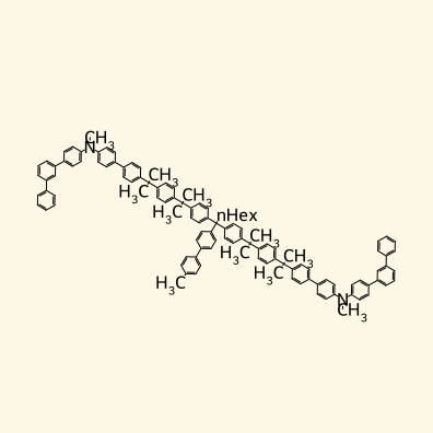 CCCCCCC(c1ccc(-c2ccc(C)cc2)cc1)(c1ccc(C(C)(C)c2ccc(C(C)(C)c3ccc(-c4ccc(N(C)c5ccc(-c6cccc(-c7ccccc7)c6)cc5)cc4)cc3)cc2)cc1)c1ccc(C(C)(C)c2ccc(C(C)(C)c3ccc(-c4ccc(N(C)c5ccc(-c6cccc(-c7ccccc7)c6)cc5)cc4)cc3)cc2)cc1